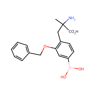 CC(N)(Cc1ccc(B(O)O)cc1OCc1ccccc1)C(=O)O